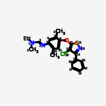 CCN(C)C=Nc1cc(C)c(Oc2snc(-c3ccccc3)c2Cl)cc1C